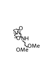 COC(CCCNC(=O)CN1C(=O)CSC1=S)OC